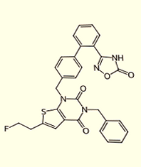 O=c1[nH]c(-c2ccccc2-c2ccc(Cn3c(=O)n(Cc4ccccc4)c(=O)c4cc(CCF)sc43)cc2)no1